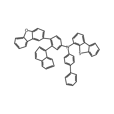 c1ccc(-c2ccc(N(c3ccc(-c4ccc5oc6ccccc6c5c4)c(-c4cccc5ccccc45)c3)c3cccc4c3sc3ccccc34)cc2)cc1